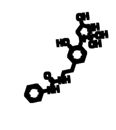 O=C(NCCc1ccc(N2CC(O)NS2(O)O)c(O)c1)Nc1ccccc1